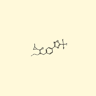 CCCN(Cc1ccc(-c2noc(C(F)(F)F)n2)cc1)C(=O)C1CC1C